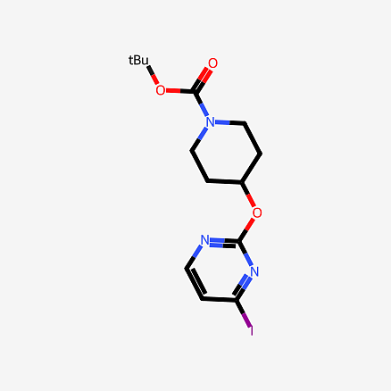 CC(C)(C)OC(=O)N1CCC(Oc2nccc(I)n2)CC1